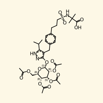 CC(=O)OC[C@H]1O[C@@H](Oc2n[nH]c(C(C)C)c2Cc2ccc(CCCS(=O)(=O)NC(C)(C)C(=O)O)cc2)[C@H](OC(C)=O)[C@@H](OC(C)=O)[C@@H]1OC(C)=O